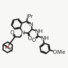 COc1cccc(NC(=O)NC2N=C(C(C)C)c3ccccc3N(CC(=O)N3CC4CCC(CC4)C3)C2=O)c1